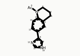 CC(=O)N1CCCc2cc(-c3c[nH]cn3)ccc21